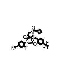 N#Cc1ccc(N2CC(=O)N(Cc3ccc(C(F)(F)F)cc3)C3(CCN(C(=O)C4CCC4)C3)C2=O)c(F)c1